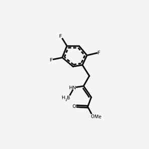 BN/C(=C\C(=O)OC)Cc1cc(F)c(F)cc1F